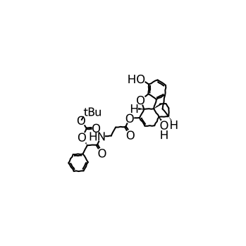 CC(C)(C)OC(=O)O[C@H](C(=O)NCCC(=O)OC1=CC[C@@]2(O)[C@@H]3CCC[C@@]24c2c(ccc(O)c2O[C@@H]14)C3)c1ccccc1